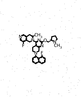 C[C@@H]1Cc2cncc(F)c2CN1c1nc(OC[C@H]2CCCN2C)nc2c1CCN(c1cccc3cccc(F)c13)C2